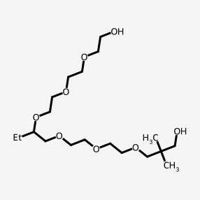 CCC(COCCOCCOCC(C)(C)CO)OCCOCCOCCO